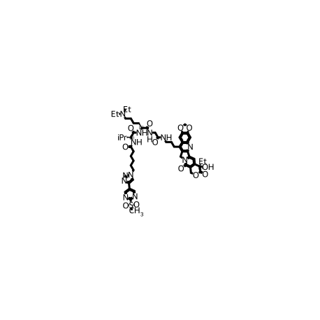 CCN(CC)CCCC[C@H](NC(=O)[C@@H](NC(=O)CCCCCn1cc(-c2cnc(S(C)(=O)=O)nc2)nn1)C(C)C)C(=O)NCC(=O)NCCCc1c2c(nc3cc4c(cc13)OCO4)-c1cc3c(c(=O)n1C2)COC(=O)[C@]3(O)CC